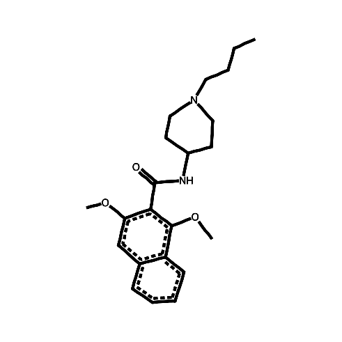 CCCCN1CCC(NC(=O)c2c(OC)cc3ccccc3c2OC)CC1